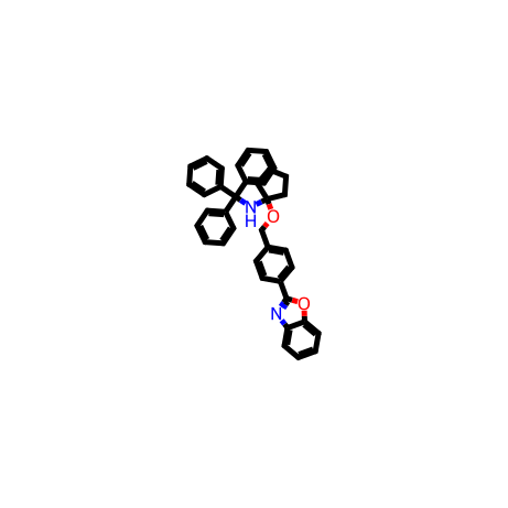 c1ccc(C(NC2(OCc3ccc(-c4nc5ccccc5o4)cc3)CCCC2)(c2ccccc2)c2ccccc2)cc1